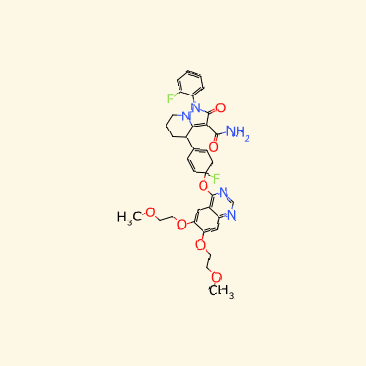 COCCOc1cc2ncnc(OC3(F)C=CC(C4CCCn5c4c(C(N)=O)c(=O)n5-c4ccccc4F)=CC3)c2cc1OCCOC